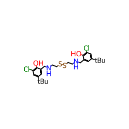 CC(C)(C)c1cc(Cl)c(O)c(CNCCSSCCNCc2cc(C(C)(C)C)cc(Cl)c2O)c1